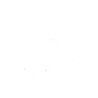 CCc1cc2n(CC(=O)Nc3ccc(F)cn3)c3c(c(=O)n2n1)CN([C@H]1CCN(C(=O)NC(C)C)C1)C3=O